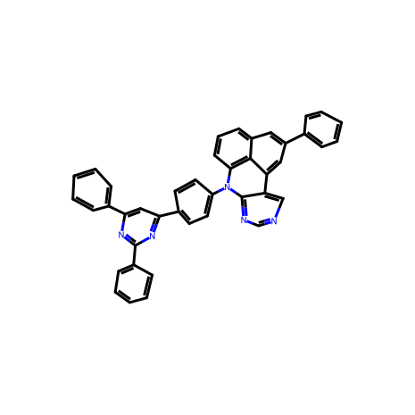 c1ccc(-c2cc3c4c(cccc4c2)N(c2ccc(-c4cc(-c5ccccc5)nc(-c5ccccc5)n4)cc2)c2ncncc2-3)cc1